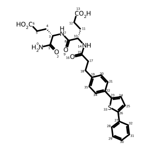 NC(=O)[C@H](CCC(=O)O)NC(=O)[C@H](CCC(=O)O)NC(=O)CCc1ccc(-c2ccc(-c3ccccc3)s2)cc1